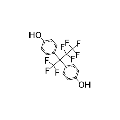 Oc1ccc(C(c2ccc(O)cc2)(C(F)(F)F)C(F)(F)C(F)(F)F)cc1